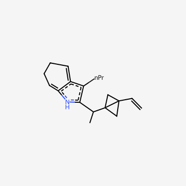 C=CC12CC1(C(C)c1[nH]c3c(c1CCC)=CCCC=3)C2